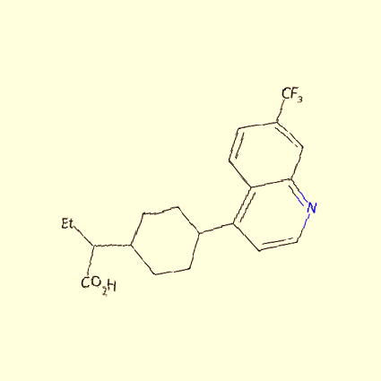 CCC(C(=O)O)C1CCC(c2ccnc3cc(C(F)(F)F)ccc23)CC1